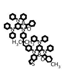 CC1C=Cc2c(oc3c2N(c2ccccc2)c2cc(N(c4ccccc4)c4ccccc4)cc4c2B3c2cc3sccc3cc2N4c2ccc(CC(C)(C)c3ccc(N4c5cc(N(c6ccccc6)c6ccccc6)cc6c5B(c5ccccc5N6c5ccccc5)c5c4oc4ccccc54)cc3)cc2)C1